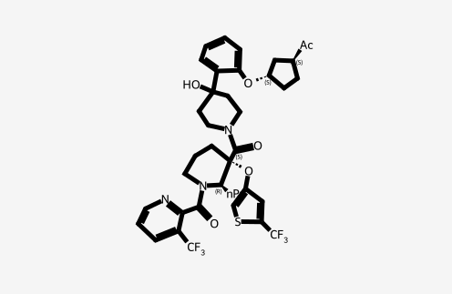 CCC[C@H]1N(C(=O)c2ncccc2C(F)(F)F)CCC[C@@]1(Oc1csc(C(F)(F)F)c1)C(=O)N1CCC(O)(c2ccccc2O[C@H]2CC[C@H](C(C)=O)C2)CC1